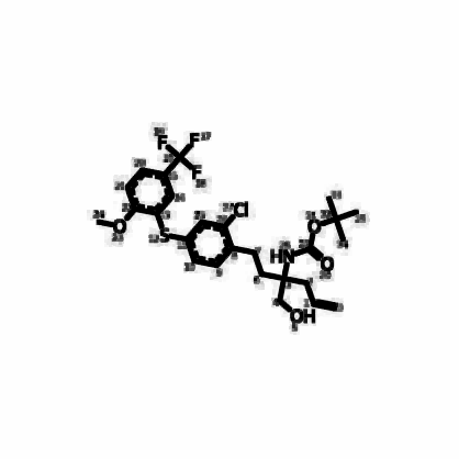 C=CCC(CO)(CCc1ccc(Sc2cc(C(F)(F)F)ccc2OC)cc1Cl)NC(=O)OC(C)(C)C